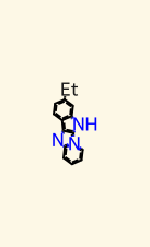 CCc1ccc2c(c1)[nH]c1c2nc2ccccn21